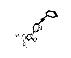 CC1(C)CC(=O)N(N2C=NC(C#Cc3ccccc3)=CC2)C1